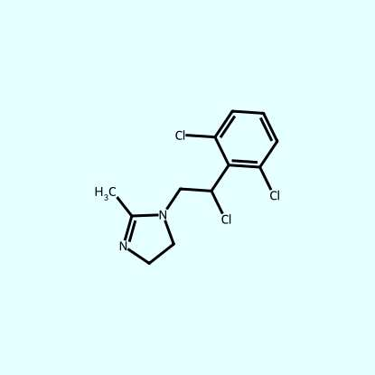 CC1=NCCN1CC(Cl)c1c(Cl)cccc1Cl